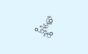 CNC(C)C(=O)NC(C(=O)NC(COCc1ccccc1)C(=O)NC1CCCc2ccccc21)C(C)C.NC1CCCc2ccccc21